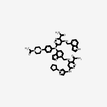 CC(=O)N1CCN(c2ccc(N(c3cc(NCc4cccc5[nH]ccc45)c(C(N)=O)nn3)c3ccc(CNc4cc(Nc5cnn(C6CCCC6)c5)nnc4C(N)=O)c4sccc34)cc2)CC1